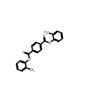 O=C(Oc1ccccc1C(F)(F)F)c1ccc(C(=O)Oc2ccccc2C(F)(F)F)cc1